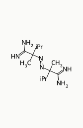 CC(C)C(C)(N=NC(C)(C(=N)N)C(C)C)C(=N)N